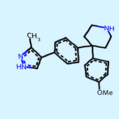 COc1ccc(C2(c3ccc(-c4c[nH]nc4C)cc3)CCNCC2)cc1